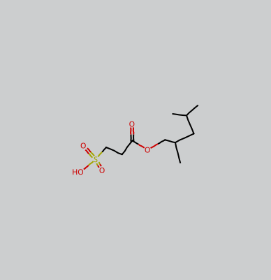 CC(C)CC(C)COC(=O)CCS(=O)(=O)O